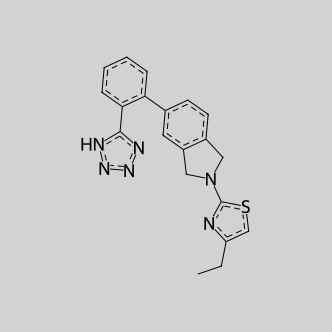 CCc1csc(N2Cc3ccc(-c4ccccc4-c4nnn[nH]4)cc3C2)n1